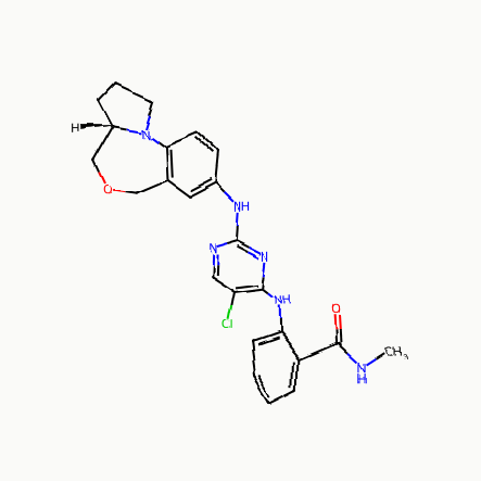 CNC(=O)c1ccccc1Nc1nc(Nc2ccc3c(c2)COC[C@@H]2CCCN32)ncc1Cl